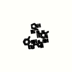 CC[C@]1(CNc2cc(Nc3ncc(C(=O)Nc4c(C)cccc4Cl)s3)nc(C)n2)CCCN1